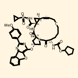 COc1ccc(-c2nc(O[C@@H]3C[C@H]4C(=O)N[C@]5(C(=O)NS(=O)(=O)C6CC6)C[C@H]5/C=C\CCCCC[C@H](NC(=O)OC5CCCC5)C(=O)N4C3)c3oc4ccccc4c3n2)cc1